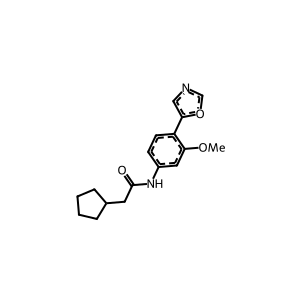 COc1cc(NC(=O)CC2CCCC2)ccc1-c1cnco1